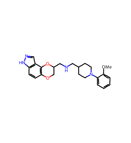 COc1ccccc1N1CCC(CNCC2COc3ccc4[nH]ncc4c3O2)CC1